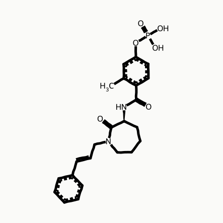 Cc1cc(OP(=O)(O)O)ccc1C(=O)N[C@H]1CCCCN(CC=Cc2ccccc2)C1=O